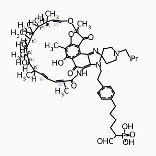 C/C1=C/C=C/[C@H](C)[C@H](O)[C@@H](C)[C@@H](O)[C@@H](C)[C@H](C)[C@H](C)[C@@H](C)/C=C/O[C@@]2(C)Oc3c(C)c(O)c4c(c3C2=O)C2=NC3(CCN(CC(C)C)CC3)N(CCc3ccc(CCCCC(C=O)P(=O)(O)O)cc3)C2=C(NC1=O)C4=O